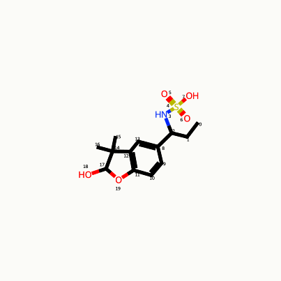 CCC(NS(=O)(=O)O)c1ccc2c(c1)C(C)(C)C(O)O2